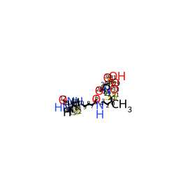 CC(CCNC(=O)CCCC[C@@H]1SC[C@@H]2NC(=O)N[C@@H]21)C(=S)SN1C(=O)CC(S(=O)(=O)O)C1=O